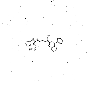 O=C(O)Cn1c(SCCCN(C(=O)CC(c2ccccc2)c2ccccc2)C2CC2)nc2ccccc21